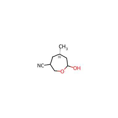 C[C@H]1CC(C#N)COC(O)C1